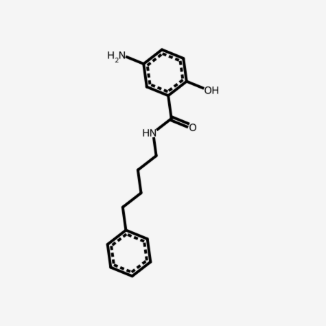 Nc1ccc(O)c(C(=O)NCCCCc2ccccc2)c1